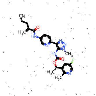 C=C(CCC#N)C(=O)Nc1ccc(-c2nnn(C)c2NC(=O)O[C@H](C)c2cc(F)cnc2C)nc1